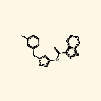 O=C(Nc1cnn(Cc2cccc(F)c2)c1)c1n[nH]c2ccccc12